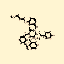 CCCCOc1cccc(CN2C(=O)N(Cc3cccc(C#N)c3)[C@H](Cc3ccccc3)[C@H](O)[C@H]2CCc2ccccc2)c1